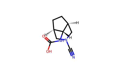 N#CN1C[C@H]2CC[C@@H](C1)[C@@H]2NC(=O)O